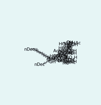 CCCCCCCCCCCCC/C=C/[C@@H](O)[C@H](CO[C@@H]1OC(CO)[C@@H](O[C@@H]2OC(CO)[C@H](O[C@@H]3OC(CO[C@]4(C(=O)O)CC(O)[C@@H](NC(C)=O)C([C@H](O)[C@H](O)CO)O4)[C@H](O)[C@H](O[C@@H]4OC(CO)[C@H](O)[C@H](O[C@]5(C(=O)O)CC(O)[C@@H](NC(C)=O)C([C@H](O)[C@H](O)CO)O5)C4O)C3NC(C)=O)[C@H](O)C2O)[C@H](O)C1O)NC(=O)CCCCCCCCCCCCCCCCCCCCCCC